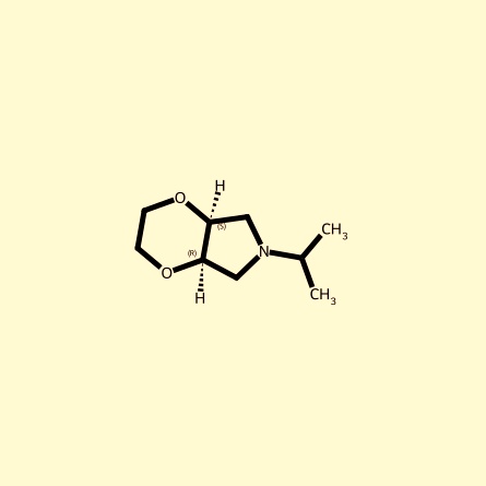 CC(C)N1C[C@@H]2OCCO[C@@H]2C1